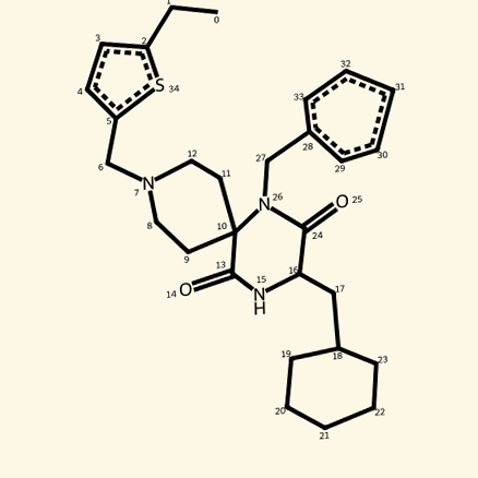 CCc1ccc(CN2CCC3(CC2)C(=O)NC(CC2CCCCC2)C(=O)N3Cc2ccccc2)s1